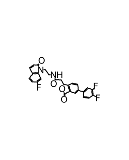 O=C(CC1OC(=O)c2cc(-c3ccc(F)c(F)c3)ccc21)NCCn1c(=O)ccc2ccc(F)cc21